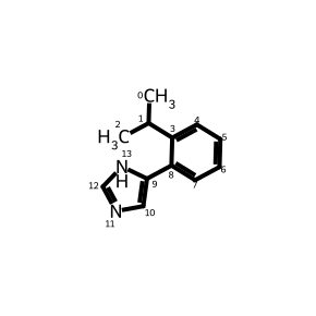 CC(C)c1ccccc1-c1cnc[nH]1